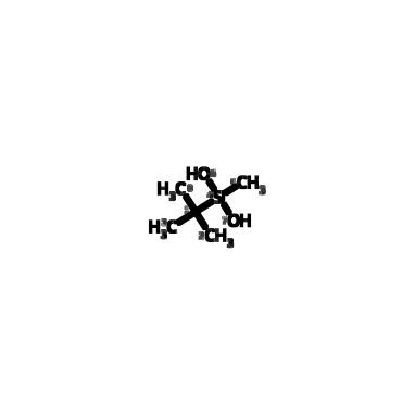 CC(C)(C)[Si](C)(O)O